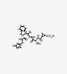 CC[C@H](C)[C@H](NC(=O)C1C[C@@H]1C(=O)O)C(=O)NCC(=O)N1c2ccccc2C[C@H]1C(=O)NCc1nn[nH]n1